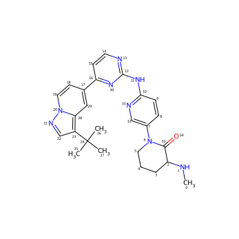 CNC1CCCN(c2ccc(Nc3nccc(-c4ccn5ncc(C(C)(C)C)c5c4)n3)nc2)C1=O